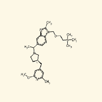 COc1cc(C[C@H]2CCN(C(C)c3cnc4c(c3)nc(C)n4COCCS(C)(C)C)C2)cc(C)n1